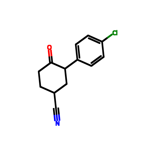 N#CC1CCC(=O)C(c2ccc(Cl)cc2)C1